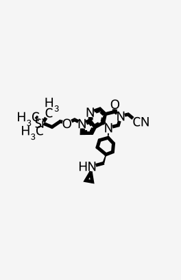 C[Si](C)(C)CCOCn1ccc2c3c(cnc21)C(=O)N(CC#N)CN3[C@H]1CC[C@H](CNC2CC2)CC1